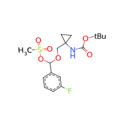 CC(C)(C)OC(=O)NC1(COC(OS(C)(=O)=O)c2cccc(F)c2)CC1